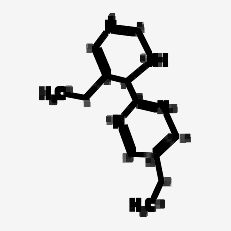 CCC1=CN=[C]NC1c1ncc(CC)cn1